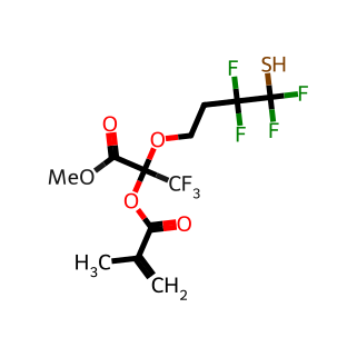 C=C(C)C(=O)OC(OCCC(F)(F)C(F)(F)S)(C(=O)OC)C(F)(F)F